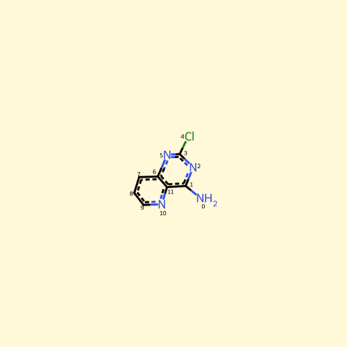 Nc1nc(Cl)nc2cccnc12